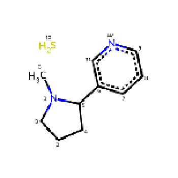 CN1CCCC1c1cccnc1.S